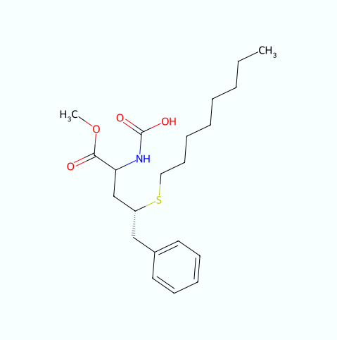 CCCCCCCCS[C@H](Cc1ccccc1)CC(NC(=O)O)C(=O)OC